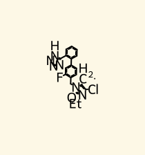 [CH2]c1c(Cl)nc(OCC)n1Cc1ccc(-c2ccccc2-c2nnn[nH]2)cc1F